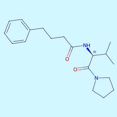 CC(C)[C@H](NC(=O)CCCc1ccccc1)C(=O)N1CCCC1